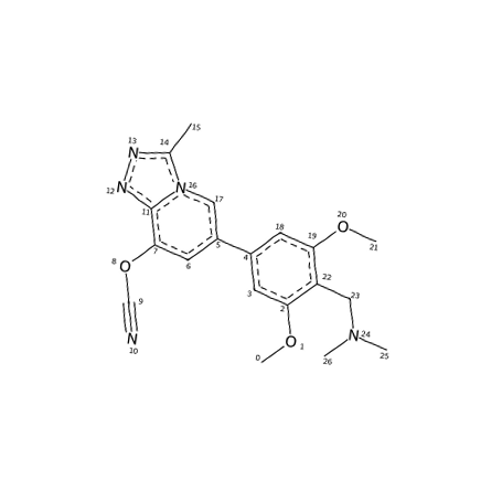 COc1cc(-c2cc(OC#N)c3nnc(C)n3c2)cc(OC)c1CN(C)C